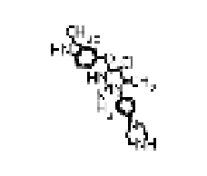 C=C(Nc1ccc(N2CCNCC2)cc1)/C(Cl)=C(\NCN)Oc1ccc2c(c1F)C(C)N2